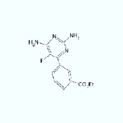 CCOC(=O)c1cccc(-c2nc(N)nc(N)c2F)c1